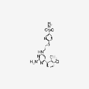 Cc1c(Cl)cccc1-c1cc(NCCSc2ccc(S(N)(=O)=O)cn2)nc(N)n1